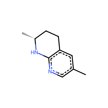 Cc1cnc2c(c1)CC[C@@H](C)N2